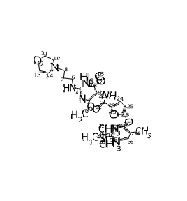 COc1nc(NCCCN2CCOCC2)nc(OC)c1NC(=O)c1ccc(Oc2nc([Si](C)(C)C)ncc2C)o1